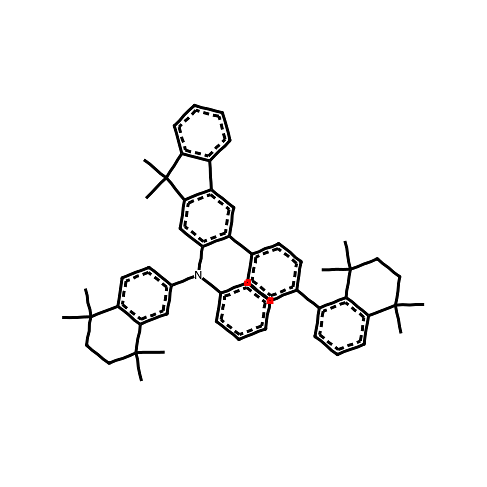 CC1(C)CCC(C)(C)c2cc(N(c3ccccc3)c3cc4c(cc3-c3ccc(-c5cccc6c5C(C)(C)CCC6(C)C)cc3)-c3ccccc3C4(C)C)ccc21